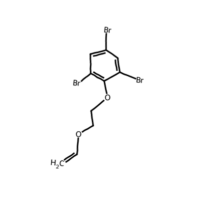 C=COCCOc1c(Br)cc(Br)cc1Br